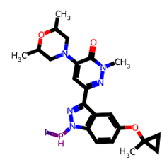 CC1CN(c2cc(-c3nn(PI)c4ccc(OC5(C)CC5)cc34)nn(C)c2=O)CC(C)O1